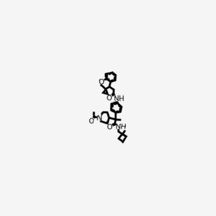 CC(=O)N1CCC(C(C)(C(=O)NCC2(C)CCC2)c2ccc(NC(=O)CC3c4ccccc4OCC34CC4)cc2)CC1